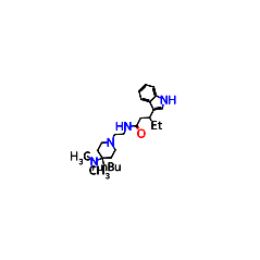 CCCCC1(N(C)C)CCN(CCNC(=O)CC(CC)c2c[nH]c3ccccc23)CC1